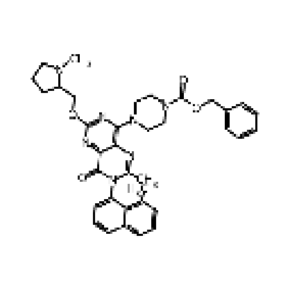 Cc1cccc2cccc(-n3c(C)nc4c(N5CCN(C(=O)OCc6ccccc6)CC5)nc(OCC5CCCN5C)nc4c3=O)c12